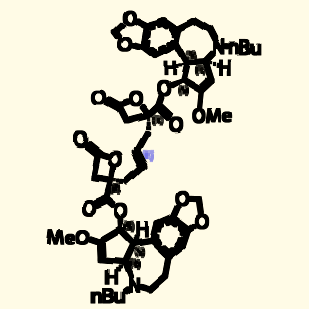 CCCCN1CCc2cc3c(cc2[C@@H]2[C@H](OC(=O)[C@@]4(C/C=C/C[C@]5(C(=O)O[C@@H]6C(OC)=C[C@H]7[C@@H]6c6cc8c(cc6CCN7CCCC)OCO8)CC(=O)O5)CC(=O)O4)C(OC)=C[C@@H]21)OCO3